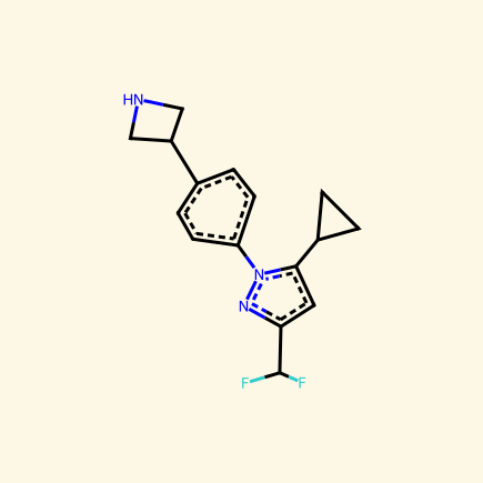 FC(F)c1cc(C2CC2)n(-c2ccc(C3CNC3)cc2)n1